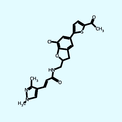 CC(=O)c1ccc(-c2cc(Cl)c3c(c2)CC(CNC(=O)C=Cc2cn(C)nc2C)O3)s1